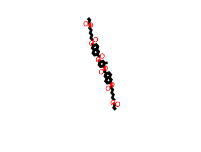 C=CC(=O)OCCCCCC(=O)Oc1ccc2cc(C(=O)Oc3ccc(OC(=O)c4ccc5cc(OC(=O)CCCCCOC(=O)C=C)ccc5c4)c(C)c3)ccc2c1